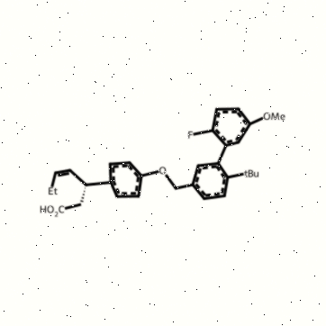 CC/C=C\[C@@H](CC(=O)O)c1ccc(OCc2ccc(C(C)(C)C)c(-c3cc(OC)ccc3F)c2)cc1